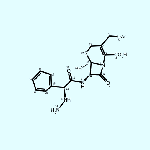 CC(=O)OCC1=C(C(=O)O)N2C(=O)[C@@H](NC(=O)[C@@H](NN)c3ccccc3)[C@H]2SC1